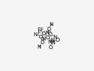 N#Cc1ccc2c(c1)c1cc(C#N)ccc1n2-c1cc(-c2nc(-c3ccccc3)nc(-c3ccccc3)n2)ccc1-c1ccc(C(F)(F)F)cc1-n1c2ccc(C#N)cc2c2cc(C#N)ccc21